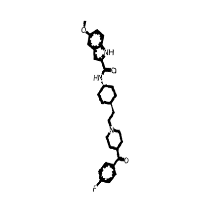 COc1ccc2[nH]c(C(=O)N[C@H]3CC[C@H](CCN4CCC(C(=O)c5ccc(F)cc5)CC4)CC3)cc2c1